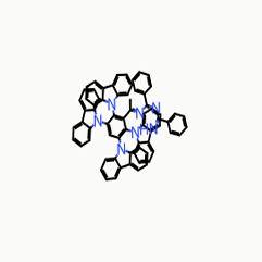 C/C(=N\C(=N/C(=N)c1ccccc1)c1ccccc1)c1c(-n2c3ccccc3c3ccccc32)c(-n2c3ccccc3c3ccccc32)cc(-n2c3ccccc3c3ccccc32)c1-n1c2ccccc2c2ccccc21